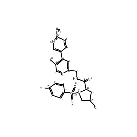 O=C(NCc1cc(-c2cnc(C(F)(F)F)nc2)c(Cl)cn1)C1CC(F)CN1S(=O)(=O)c1ccc(F)cc1